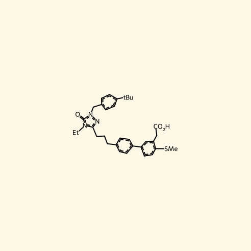 CCn1c(CCCc2ccc(-c3ccc(SC)c(CC(=O)O)c3)cc2)nn(Cc2ccc(C(C)(C)C)cc2)c1=O